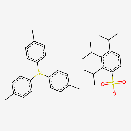 CC(C)c1ccc(S(=O)(=O)[O-])c(C(C)C)c1C(C)C.Cc1ccc([S+](c2ccc(C)cc2)c2ccc(C)cc2)cc1